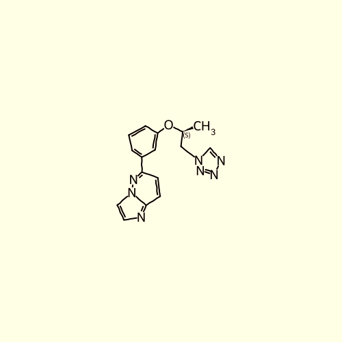 C[C@@H](Cn1cnnn1)Oc1cccc(-c2ccc3nccn3n2)c1